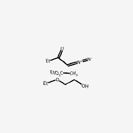 CCC(=O)C=[N+]=[N-].CCOC(C)=O.CCOCCO